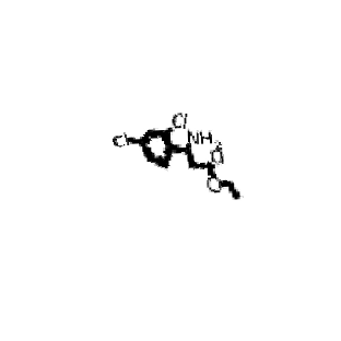 CCOC(=O)C=C(N)c1ccc(Cl)cc1Cl